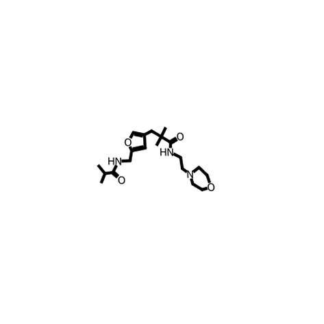 CC(C)C(=O)NCc1cc(CC(C)(C)C(=O)NCCN2CCOCC2)co1